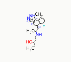 C=CCC(/C=N\N)=C\C(=C/C(=C)NCCC(O)CC)c1c(C)cccc1F